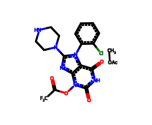 COC(C)=O.O=C(On1c(=O)[nH]c(=O)c2c1nc(N1CCNCC1)n2-c1ccccc1Cl)C(F)(F)F